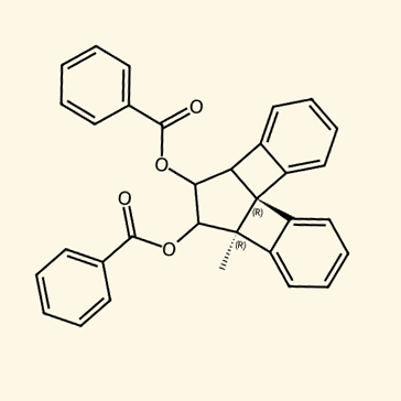 C[C@@]12c3ccccc3[C@@]13c1ccccc1C3C(OC(=O)c1ccccc1)C2OC(=O)c1ccccc1